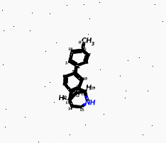 Cc1ccc(-c2ccc3c(c2)[C@H]2C[C@H]3CCN2)cc1